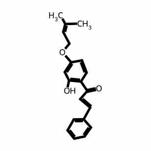 CC(C)=CCOc1ccc(C(=O)C=Cc2ccccc2)c(O)c1